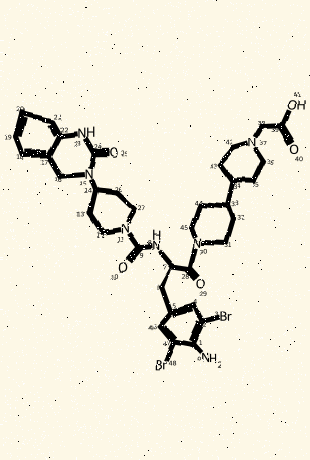 Nc1c(Br)cc(C[C@@H](NC(=O)N2CCC(N3Cc4ccccc4NC3=O)CC2)C(=O)N2CCC(C3CCN(CC(=O)O)CC3)CC2)cc1Br